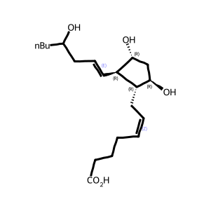 CCCCC(O)C/C=C/[C@@H]1[C@@H](C/C=C\CCCC(=O)O)[C@H](O)C[C@H]1O